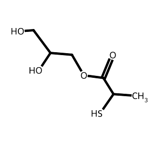 CC(S)C(=O)OCC(O)CO